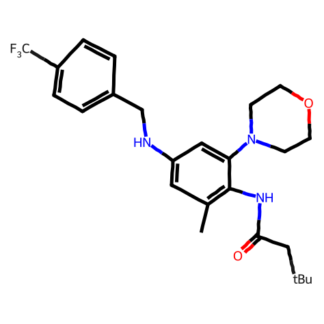 Cc1cc(NCc2ccc(C(F)(F)F)cc2)cc(N2CCOCC2)c1NC(=O)CC(C)(C)C